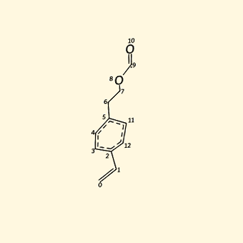 C=Cc1ccc(CCO[C]=O)cc1